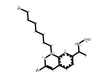 CC(C)C1=Cc2ccc(C(C)NC=O)nc2N(CCCCCCCS)S1